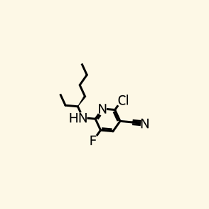 CCCC[C@H](CC)Nc1nc(Cl)c(C#N)cc1F